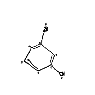 N#Cc1ccc[c]([Zn])c1